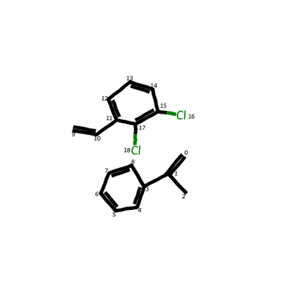 C=C(C)c1ccccc1.C=Cc1cccc(Cl)c1Cl